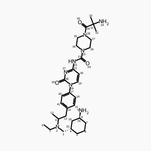 CCN(C[C@H]1CCC[C@H](N)C1)C(C)Cc1ccc(-n2ccc(NC(=O)N3CCN(C(=O)C(C)(C)N)CC3)nc2=O)cc1